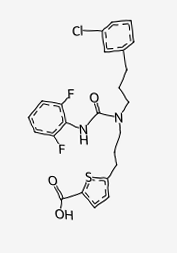 O=C(O)c1ccc(CCCN(CCCc2cccc(Cl)c2)C(=O)Nc2c(F)cccc2F)s1